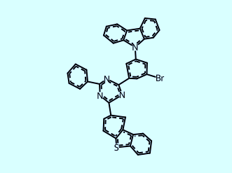 Brc1cc(-c2nc(-c3ccccc3)nc(-c3ccc4sc5ccccc5c4c3)n2)cc(-n2c3ccccc3c3ccccc32)c1